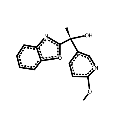 COc1ccc([C@@](C)(O)c2nc3ccccc3o2)cn1